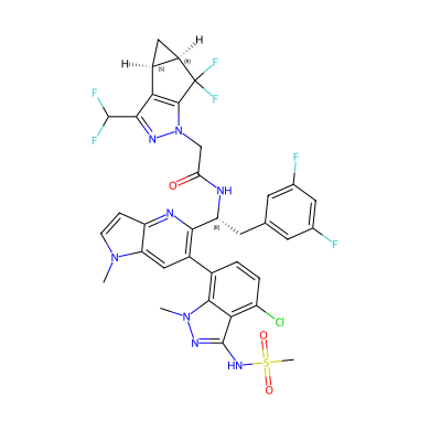 Cn1ccc2nc([C@@H](Cc3cc(F)cc(F)c3)NC(=O)Cn3nc(C(F)F)c4c3C(F)(F)[C@@H]3C[C@H]43)c(-c3ccc(Cl)c4c(NS(C)(=O)=O)nn(C)c34)cc21